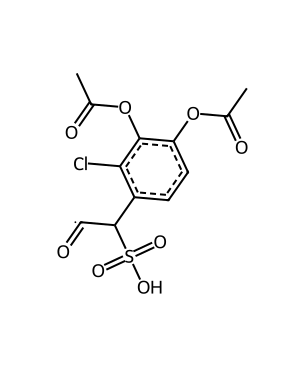 CC(=O)Oc1ccc(C([C]=O)S(=O)(=O)O)c(Cl)c1OC(C)=O